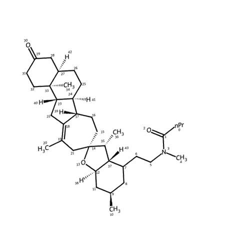 CCCC(=O)N(C)CCC1C[C@@H](C)C[C@H]2O[C@]3(CC[C@@H]4C(=C(C)C3)C[C@H]3[C@H]4CC[C@@H]4CC(=O)CC[C@@]43C)[C@H](C)[C@H]12